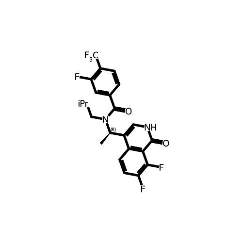 CC(C)CN(C(=O)c1ccc(C(F)(F)F)c(F)c1)[C@H](C)c1c[nH]c(=O)c2c(F)c(F)ccc12